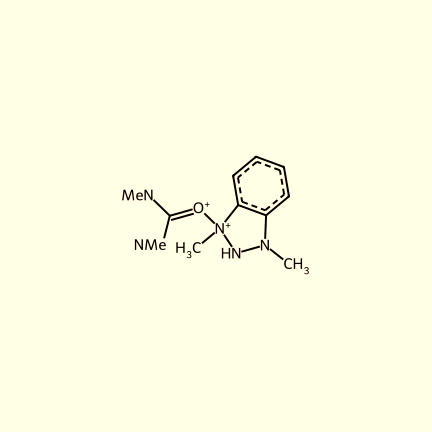 CNC(NC)=[O+][N+]1(C)NN(C)c2ccccc21